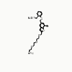 CCOC(=O)Cc1ccccc1OCc1cc(Br)c2oc(COCCOCCOCCOC)cc2c1